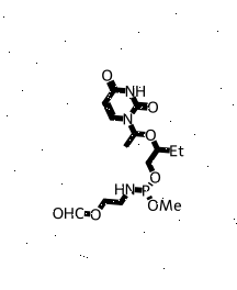 CCC(COP(NCCOC=O)OC)OC(C)n1ccc(=O)[nH]c1=O